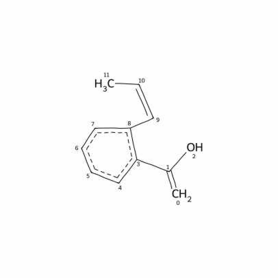 C=C(O)c1ccccc1/C=C\C